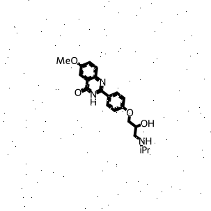 COc1ccc2nc(-c3ccc(OCC(O)CNC(C)C)cc3)[nH]c(=O)c2c1